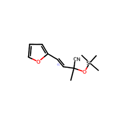 CC(C#N)(/C=C/c1ccco1)O[Si](C)(C)C